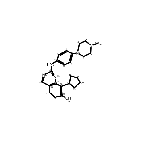 CC(=O)N1CCN(c2ccc(Nc3ncc4c(n3)C(C3CCCC3)=C(O)CC4)cc2)CC1